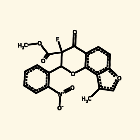 COC(=O)C1(F)C(=O)c2ccc3occ(C)c3c2OC1c1ccccc1[N+](=O)[O-]